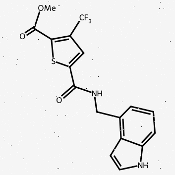 COC(=O)c1sc(C(=O)NCc2cccc3[nH]ccc23)cc1C(F)(F)F